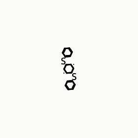 [CH]1CC(Sc2ccccc2)[CH]CC1Sc1ccccc1